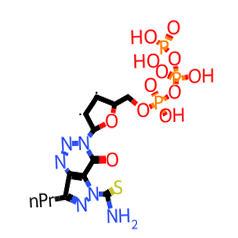 CCCc1nn(C(N)=S)c2c(=O)n(C3[CH][CH]C(COP(=O)(O)OP(=O)(O)OP(=O)(O)O)O3)nnc12